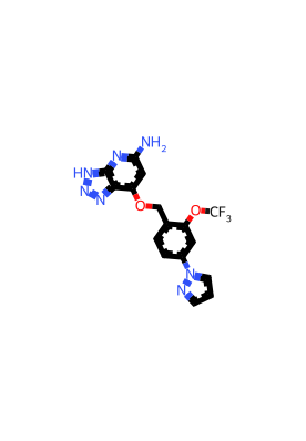 Nc1cc(OCc2ccc(-n3cccn3)cc2OC(F)(F)F)c2nn[nH]c2n1